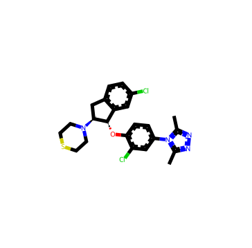 Cc1nnc(C)n1-c1ccc(O[C@H]2c3cc(Cl)ccc3C[C@@H]2N2CCSCC2)c(Cl)c1